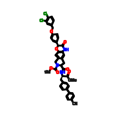 COC(=O)[C@H](Cc1ccc(-c2ccc(C#N)cc2)cc1)NC(=O)C1Cc2cc3c(cc2CN1C(=O)OC(C)(C)C)O[C@@H](c1ccc(OCc2ccc(Cl)c(Cl)c2)cc1)C(=O)N3